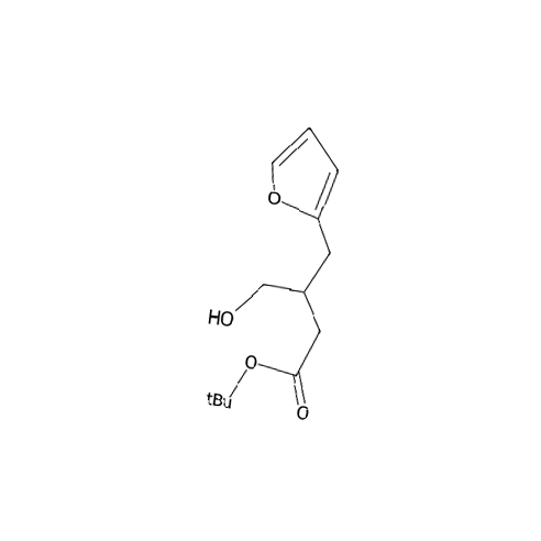 CC(C)(C)OC(=O)CC(CO)Cc1ccco1